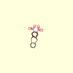 O=[N+]([O-])c1ccc2c(c1)C1c3ccccc3C2c2cc([N+](=O)[O-])ccc21